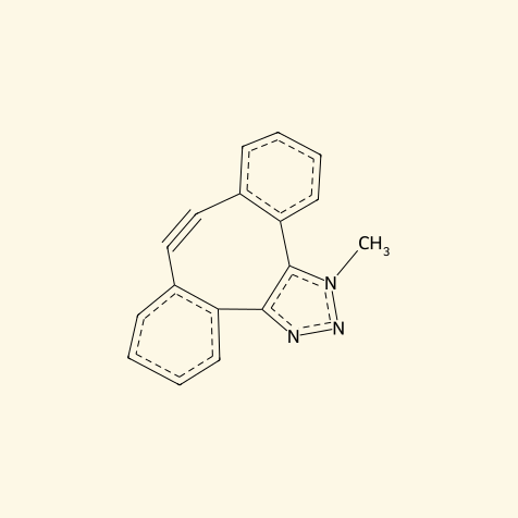 Cn1nnc2c1-c1ccccc1C#Cc1ccccc1-2